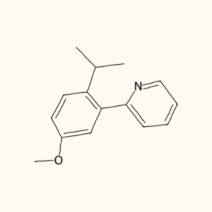 COc1ccc(C(C)C)c(-c2ccccn2)c1